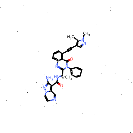 Cc1c(C#Cc2cccc3nc([C@H](C)NC(=O)c4c(N)nn5ccncc45)n(-c4ccccc4)c(=O)c23)cnn1C